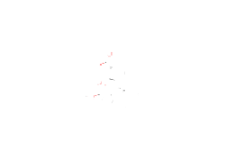 C=CC(C)CC.CC(=O)O.CC(=O)O